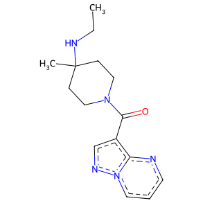 CCNC1(C)CCN(C(=O)c2cnn3cccnc23)CC1